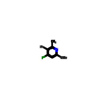 COc1cc(F)c(C(C)C)c(C)n1